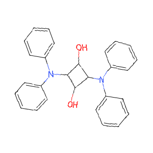 OC1C(N(c2ccccc2)c2ccccc2)C(O)C1N(c1ccccc1)c1ccccc1